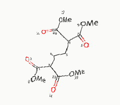 COC(=O)C(CCC(C(=O)OC)C(=O)OC)C(=O)OC